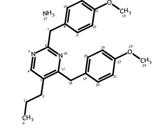 CCCc1cnc(Cc2ccc(OC)cc2)nc1Cc1ccc(OC)cc1.N